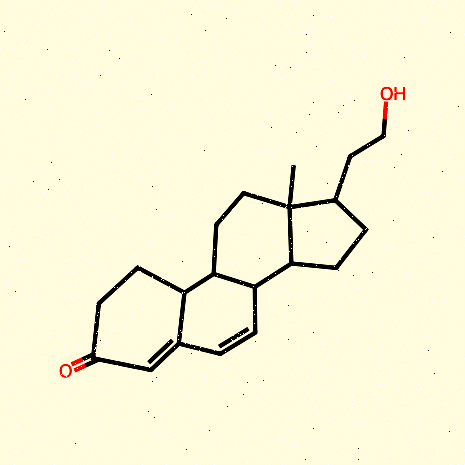 CC12CCC3C4CCC(=O)C=C4C=CC3C1CCC2CCO